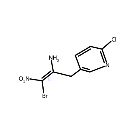 N/C(Cc1ccc(Cl)nc1)=C(/Br)[N+](=O)[O-]